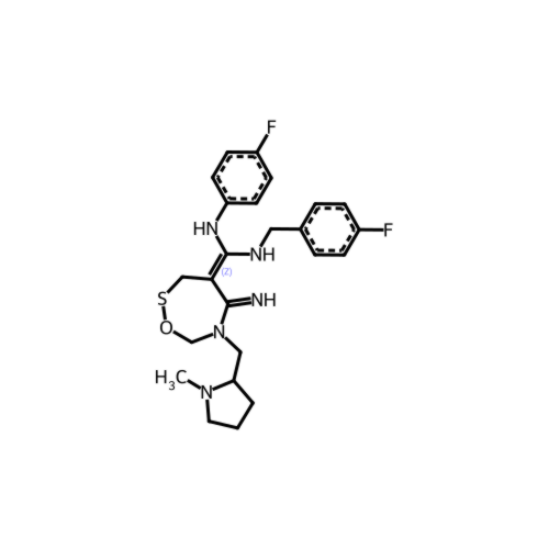 CN1CCCC1CN1COSC/C(=C(/NCc2ccc(F)cc2)Nc2ccc(F)cc2)C1=N